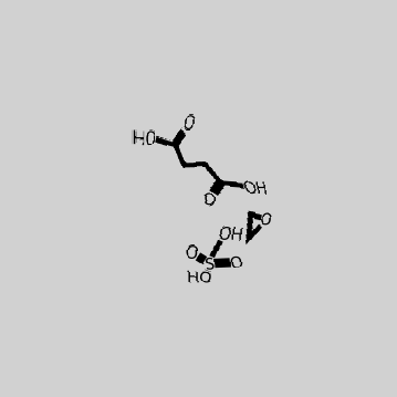 C1CO1.O=C(O)CCC(=O)O.O=S(=O)(O)O